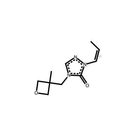 C/C=C\n1ncn(CC2(C)COC2)c1=O